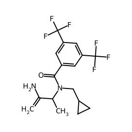 C=C(N)C(C)N(CC1CC1)C(=O)c1cc(C(F)(F)F)cc(C(F)(F)F)c1